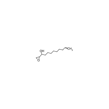 C=CCCCCCCCC(O)C1CO1